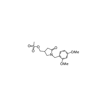 COc1ccc(CN2CC(COS(C)(=O)=O)CC2=O)c(OC)c1